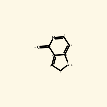 O=C1N=CC=C2SCC=C12